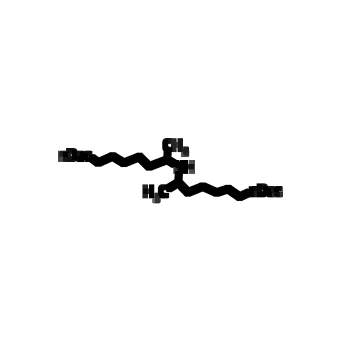 CCCCCCCCCCCCCCCC(C)NC(C)CCCCCCCCCCCCCCC